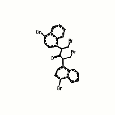 O=C(C(CBr)c1ccc(Br)c2ccccc12)C(CBr)c1ccc(Br)c2ccccc12